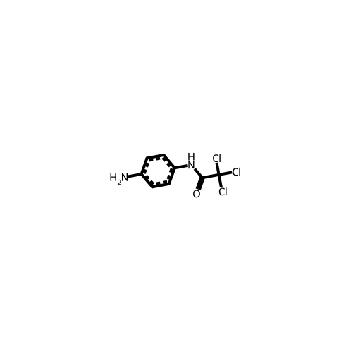 Nc1ccc(NC(=O)C(Cl)(Cl)Cl)cc1